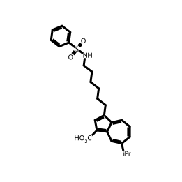 CC(C)c1cccc2c(CCCCCCNS(=O)(=O)c3ccccc3)cc(C(=O)O)c-2c1